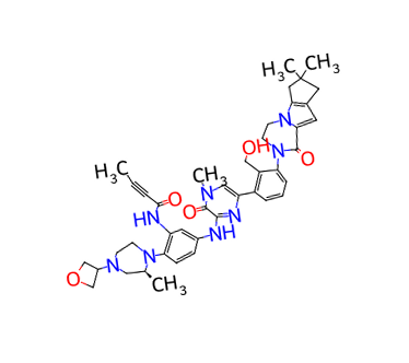 CC#CC(=O)Nc1cc(Nc2nc(-c3cccc(N4CCn5c(cc6c5CC(C)(C)C6)C4=O)c3CO)cn(C)c2=O)ccc1N1CCN(C2COC2)C[C@@H]1C